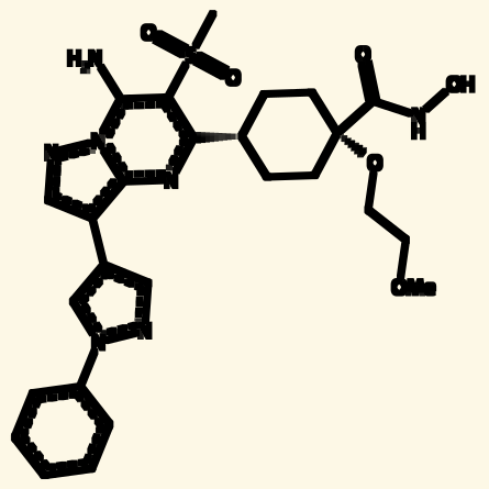 COCCO[C@]1(C(=O)NO)CC[C@H](c2nc3c(-c4cnn(-c5ccccc5)c4)cnn3c(N)c2S(C)(=O)=O)CC1